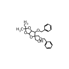 CC1(C)OC2OC(CO)(COCc3ccccc3)C(OCc3ccccc3)C2O1